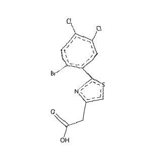 O=C(O)Cc1csc(-c2cc(Cl)c(Cl)cc2Br)n1